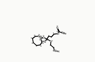 CCCCCCCCCCCCOC(O)(CCCSC(=O)CCCC)ON1CCCCCC[SiH2]1